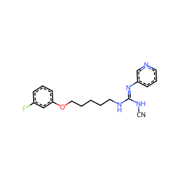 N#CN/C(=N\c1cccnc1)NCCCCCOc1cccc(F)c1